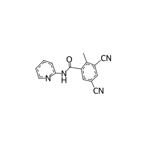 Cc1c(C#N)cc(C#N)cc1C(=O)Nc1ccccn1